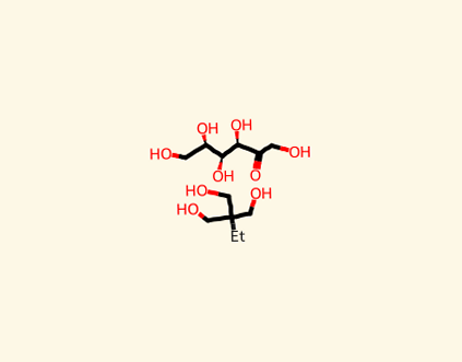 CCC(CO)(CO)CO.O=C(CO)[C@H](O)[C@@H](O)[C@H](O)CO